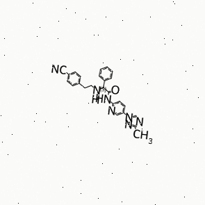 Cc1ncn(-c2ccc(NC(=O)[C@@H](NCCc3ccc(C#N)cc3)c3ccccc3)nc2)n1